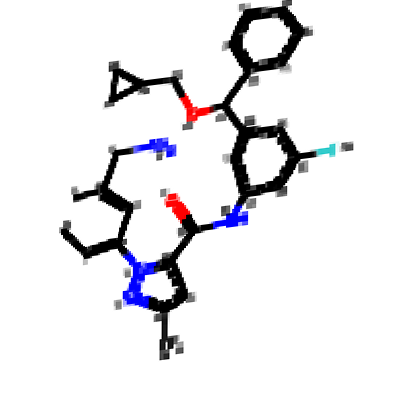 C/C=C(\C=C(/C)CN)n1nc(C(F)(F)F)cc1C(=O)Nc1cc(F)cc(C(OCC2CC2)c2ccccc2)c1